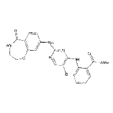 CNC(=O)c1ccccc1Nc1nc(Nc2ccc3c(c2)OCCNC3=O)ncc1Cl